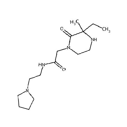 CCC1(C)NCCN(CC(=O)NCCN2CCCC2)C1=O